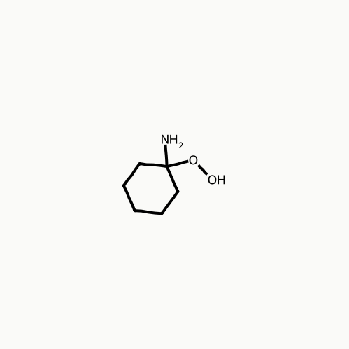 NC1(OO)CCCCC1